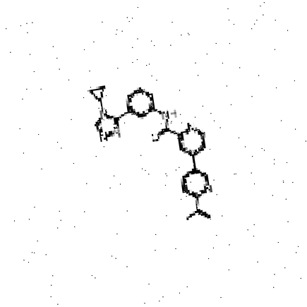 C=C(C)c1ccc(-c2ccnc(C(=O)Nc3cccc(-c4nncn4C4CC4)c3)c2)cn1